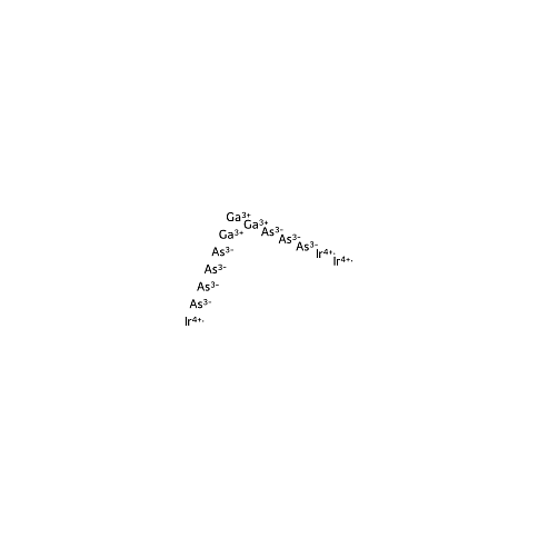 [As-3].[As-3].[As-3].[As-3].[As-3].[As-3].[As-3].[Ga+3].[Ga+3].[Ga+3].[Ir+4].[Ir+4].[Ir+4]